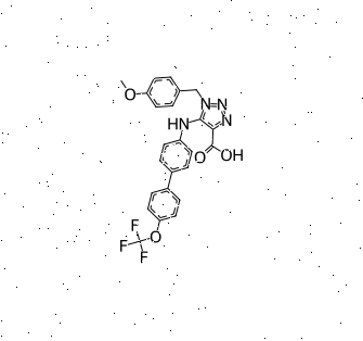 COc1ccc(Cn2nnc(C(=O)O)c2Nc2ccc(-c3ccc(OC(F)(F)F)cc3)cc2)cc1